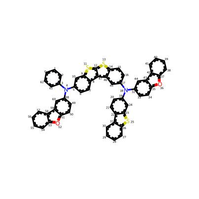 c1ccc(N(c2ccc3c(c2)sc2sc4ccc(N(c5ccc6c(c5)sc5ccccc56)c5ccc6oc7ccccc7c6c5)cc4c23)c2ccc3oc4ccccc4c3c2)cc1